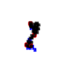 NS(=O)(=O)C1CN(CCCOC2Cc3cc4c(c(N=C=O)c3C2)CCC4)C1